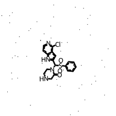 O=C1CNCCN1C(c1cc2c(Cl)nccc2[nH]1)S(=O)(=O)c1ccccc1